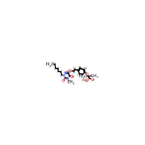 CCCCCCCn1nc(OCCc2ccc(OC(C)(C)C(=O)O)cc2)c(=O)n(C)c1=O